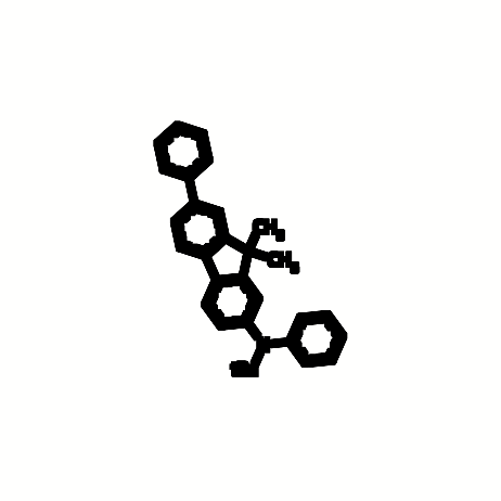 CC1(C)c2cc(-c3ccccc3)ccc2-c2ccc(N(c3ccccc3)C(C)(C)C)cc21